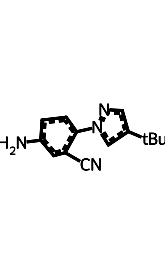 CC(C)(C)c1cnn(-c2ccc(N)cc2C#N)c1